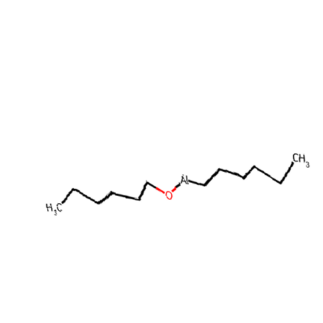 CCCCCC[O][Al][CH2]CCCCC